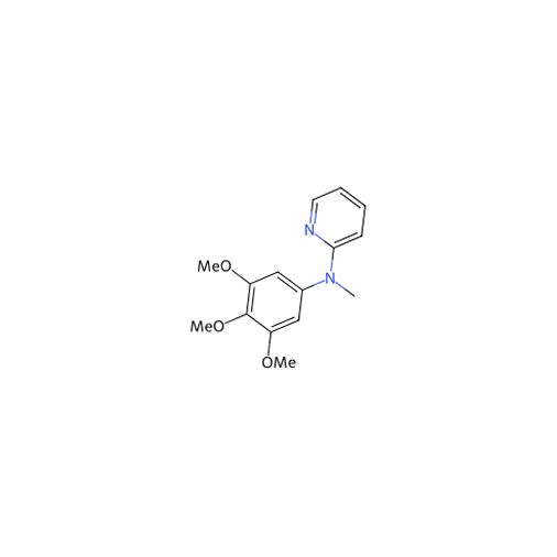 COc1cc(N(C)c2ccccn2)cc(OC)c1OC